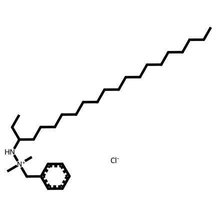 CCCCCCCCCCCCCCCCCCC(CC)N[N+](C)(C)Cc1ccccc1.[Cl-]